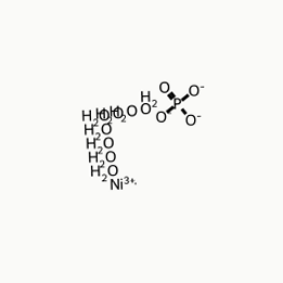 O.O.O.O.O.O.O.O.O=P([O-])([O-])[O-].[Ni+3]